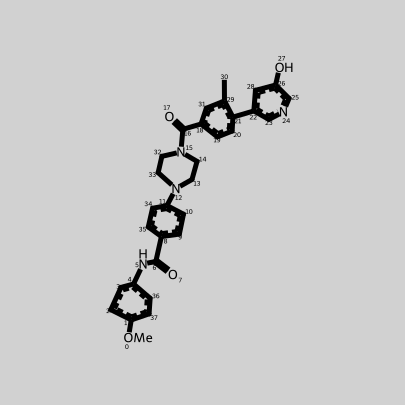 COc1ccc(NC(=O)c2ccc(N3CCN(C(=O)c4ccc(-c5cncc(O)c5)c(C)c4)CC3)cc2)cc1